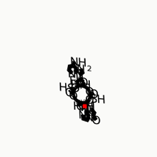 Nc1ccnc2c1ncn2[C@@H]1O[C@@H]2CO[P@@](=O)(S)O[C@@H]3[C@H](O)[C@@H](COP(=O)(S)O[C@H]2[C@@H]1F)O[C@H]3n1ccc(=O)n2ccnc12